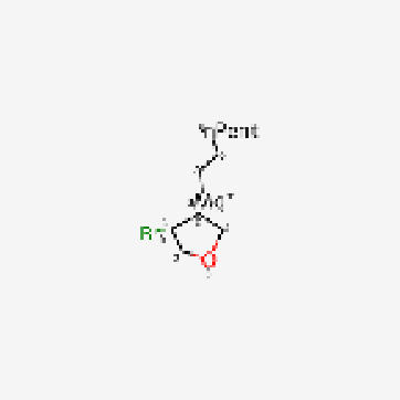 C1CCOC1.CCCCCC[CH2][Mg+].[Br-]